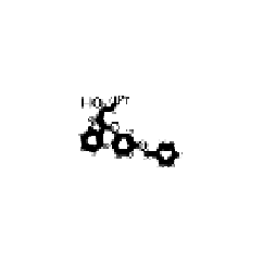 CC(C)CC(O)c1sc2ccccc2c1Oc1cccc(OCc2ccccc2)c1